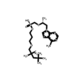 C[C@H](Cn1cnc2c(N)ncnc21)OC[P@](=O)(O)OCCCOCC(C)(C)CC(C)(C)C